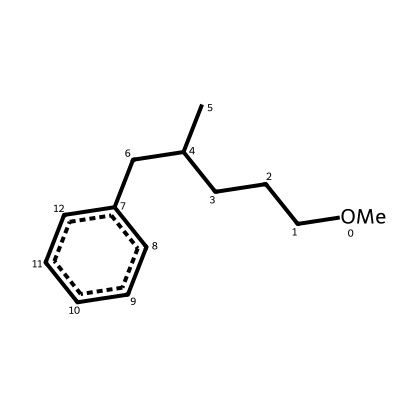 COCCCC(C)Cc1ccccc1